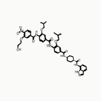 CC(C)COc1cc(C(=O)Nc2ccc(C(=O)N[C@H]3CC[C@H](C(=O)Nc4cccc5cn[nH]c45)CC3)cc2OCC(C)C)ccc1NC(=O)c1ccc([N+](=O)[O-])c(OCCO)c1